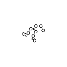 c1ccc(-c2cccc(-c3cccc(N(c4cccc(-c5ccc6oc7ccccc7c6c5)c4)c4cccc(-c5ccc6oc7ccccc7c6c5)c4)c3)c2)cc1